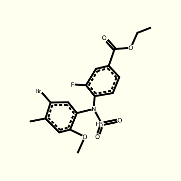 CCOC(=O)c1ccc(N(c2cc(Br)c(C)cc2OC)[SH](=O)=O)c(F)c1